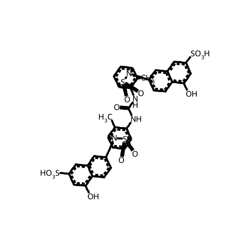 Cc1c2ccc(c1NC(=O)Nc1c3ccc(c1C)N(c1ccc4c(O)cc(S(=O)(=O)O)cc4c1)S3(=O)=O)S(=O)(=O)N2c1ccc2c(O)cc(S(=O)(=O)O)cc2c1